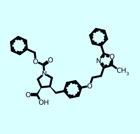 Cc1oc(-c2ccccc2)nc1CCOc1ccc(C[C@@H]2CN(C(=O)OCc3ccccc3)C[C@@H]2C(=O)O)cc1